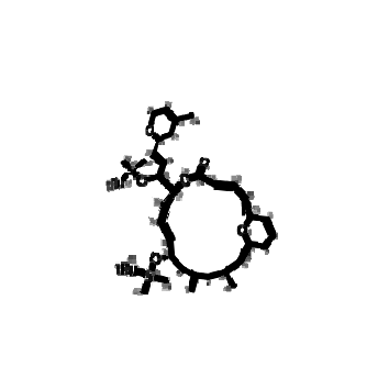 C=C1C[C@H](C)C[C@@H]2CC=C[C@@H](C/C=C/C(=O)O[C@H]([C@H](/C=C/[C@@H]3CC(C)=CCO3)O[Si](C)(C)C(C)(C)C)C/C=C/[C@@H](O[Si](C)(C)C(C)(C)C)C1)O2